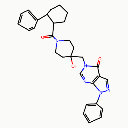 O=C(C1CCCCC1c1ccccc1)N1CCC(O)(Cn2cnc3c(cnn3-c3ccccc3)c2=O)CC1